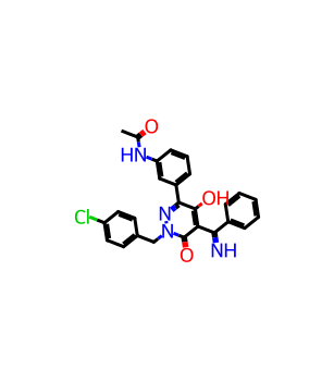 CC(=O)Nc1cccc(-c2nn(Cc3ccc(Cl)cc3)c(=O)c(C(=N)c3ccccc3)c2O)c1